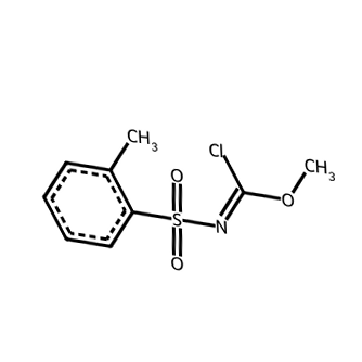 CO/C(Cl)=N/S(=O)(=O)c1ccccc1C